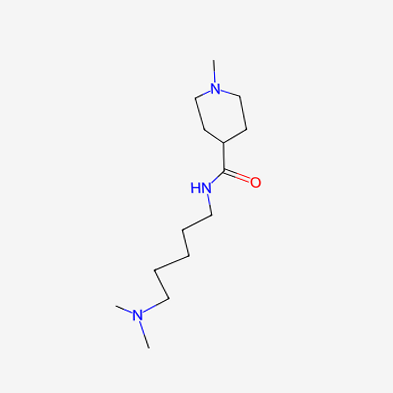 CN(C)CCCCCNC(=O)C1CCN(C)CC1